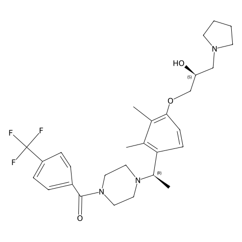 Cc1c(OC[C@@H](O)CN2CCCC2)ccc([C@@H](C)N2CCN(C(=O)c3ccc(C(F)(F)F)cc3)CC2)c1C